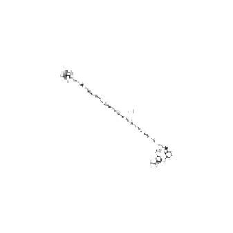 Cl.NCc1cc(Oc2cccc(C(=O)NCCOCCOCCOCCOCCOCCOCCOCCOCCOCCOCCOCCNC(=O)CCCC[C@@H]3SC[C@@H]4NC(=O)N[C@@H]43)c2)nc(C(F)(F)F)c1